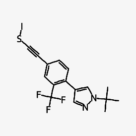 CC(C)(C)n1cc(-c2ccc(C#CSI)cc2C(F)(F)F)cn1